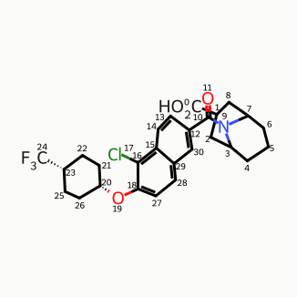 O=C(O)C1CC2CCCC(C1)N2C(=O)c1ccc2c(Cl)c(O[C@H]3CC[C@@H](C(F)(F)F)CC3)ccc2c1